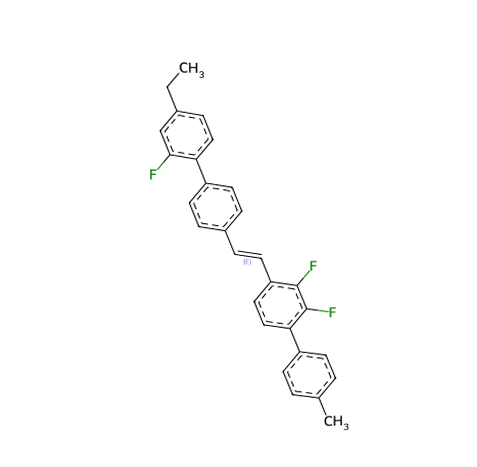 CCc1ccc(-c2ccc(/C=C/c3ccc(-c4ccc(C)cc4)c(F)c3F)cc2)c(F)c1